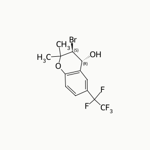 CC1(C)Oc2ccc(C(F)(F)C(F)(F)F)cc2[C@@H](O)[C@@H]1Br